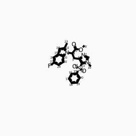 COC(=O)C(Cc1ncn(C)c1S(=O)(=O)c1ccccc1)n1c(C)cc2cc(F)ccc21